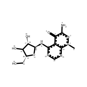 Cn1nc(N)c(=O)c2c(N[C@H]3O[C@H](CO)C(O)[C@@H]3O)ncnc21